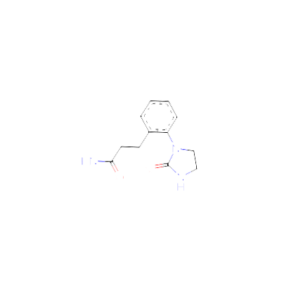 NC(=O)CCc1ccccc1N1CCNC1=O